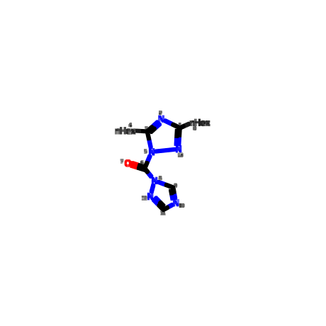 CCCCCCc1nc(CCCCCC)n(C(=O)n2cncn2)n1